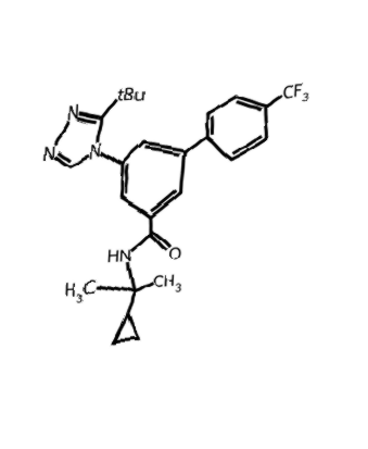 CC(C)(C)c1nncn1-c1cc(C(=O)NC(C)(C)C2CC2)cc(-c2ccc(C(F)(F)F)cc2)c1